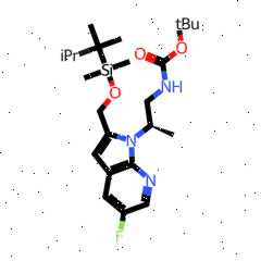 CC(C)C(C)(C)[Si](C)(C)OCc1cc2cc(F)cnc2n1[C@H](C)CNC(=O)OC(C)(C)C